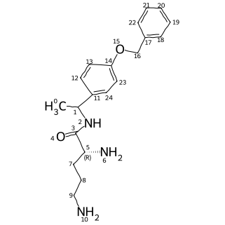 CC(NC(=O)[C@H](N)CCCN)c1ccc(OCc2ccccc2)cc1